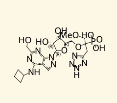 COCC(Cc1nn[nH]n1)(OC[C@H]1O[C@@H](n2ncc3c(NC4CCC4)nc(CO)nc32)[C@H](O)[C@@H]1O)P(=O)(O)O